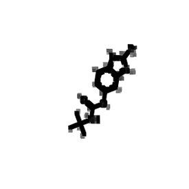 CC(C)(C)NC(=O)Oc1ccc2nc(Br)sc2c1